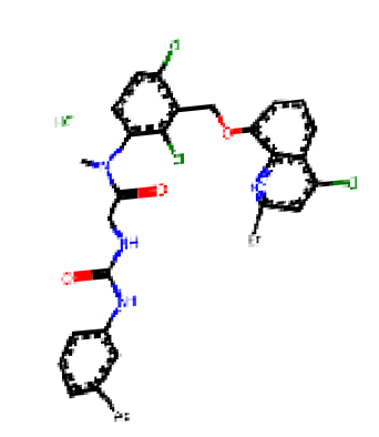 CCc1cc(Cl)c2cccc(OCc3c(Cl)ccc(N(C)C(=O)CNC(=O)Nc4cccc(C(C)=O)c4)c3Cl)c2n1.Cl